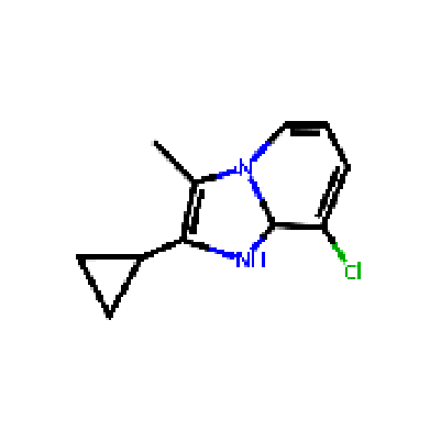 CC1=C(C2CC2)NC2C(Cl)=CC=CN12